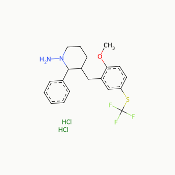 COc1ccc(SC(F)(F)F)cc1CC1CCCN(N)C1c1ccccc1.Cl.Cl